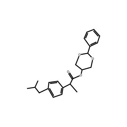 CC(C)Cc1ccc(C(C)C(=O)OC2COC(c3ccccc3)OC2)cc1